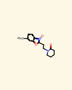 COc1ccc2c(c1)oc(CCN1CCCCC1=O)[n+]2[O-]